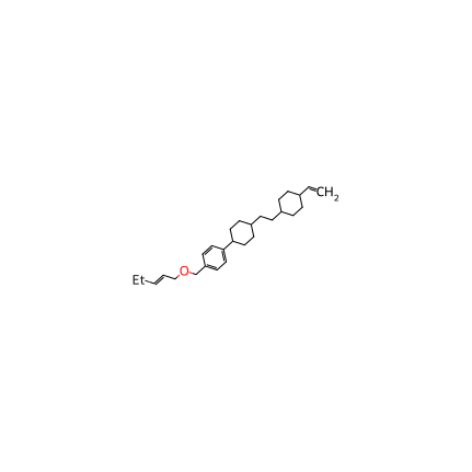 C=CC1CCC(CCC2CCC(c3ccc(COCC=CCC)cc3)CC2)CC1